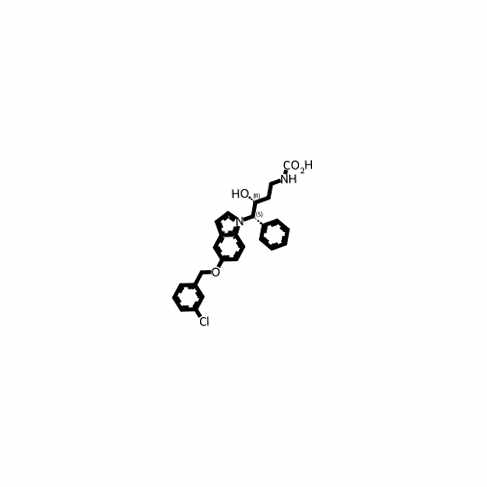 O=C(O)NCC[C@@H](O)[C@H](c1ccccc1)n1ccc2cc(OCc3cccc(Cl)c3)ccc21